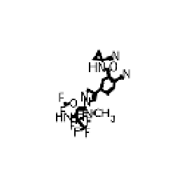 CN/C(=C(/OC(F)F)C(=N)C(F)(F)C(F)(F)F)n1cc(-c2ccc(C#N)c(C(=O)NC3(C#N)CC3)c2)cn1